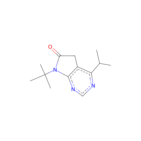 CC(C)c1ncnc2c1CC(=O)N2C(C)(C)C